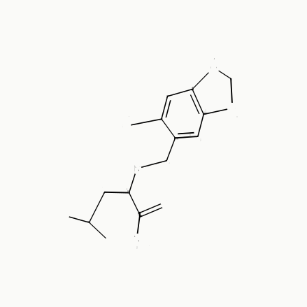 CC(C)CC(NCc1cc2c(cc1Cl)OCO2)C(N)=O